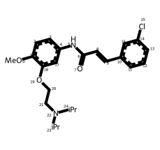 COc1ccc(NC(=O)C=Cc2cccc(Cl)c2)cc1OCCN(C(C)C)C(C)C